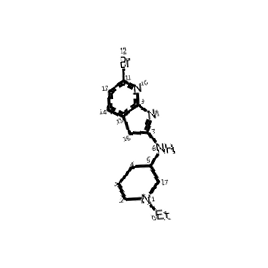 CCN1CCCC(NC2=Nc3nc(Br)ccc3C2)C1